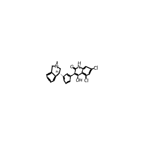 CN1Cc2ccccc2[C@@H](c2cccc(-c3c(O)c4c(Cl)cc(Cl)cc4[nH]c3=O)c2)C1